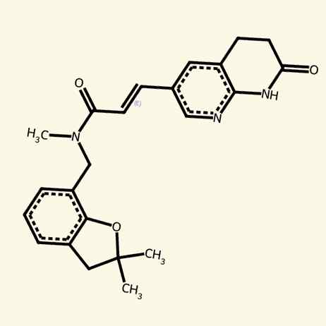 CN(Cc1cccc2c1OC(C)(C)C2)C(=O)/C=C/c1cnc2c(c1)CCC(=O)N2